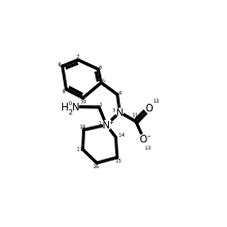 NC[N+]1(N(Cc2ccccc2)C(=O)[O-])CCCCC1